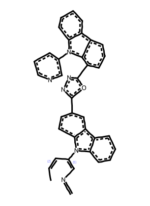 C=N/C=C(\C=C/C)n1c2ccccc2c2cc(-c3nnc(-c4cccc5c6ccccc6n(-c6cccnc6)c45)o3)ccc21